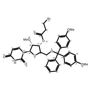 COc1ccc(C(OCC2O[C@@H](n3ccc(=O)[nH]c3=O)[C@H](OC)[C@@H]2OC(=O)CCC(C)=O)(c2ccccc2)c2ccc(OC)cc2)cc1